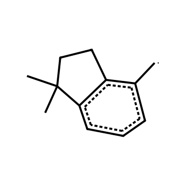 [CH2]c1cccc2c1CCC2(C)C